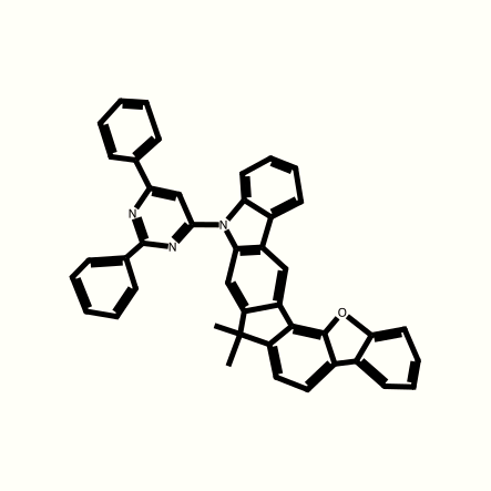 CC1(C)c2cc3c(cc2-c2c1ccc1c2oc2ccccc21)c1ccccc1n3-c1cc(-c2ccccc2)nc(-c2ccccc2)n1